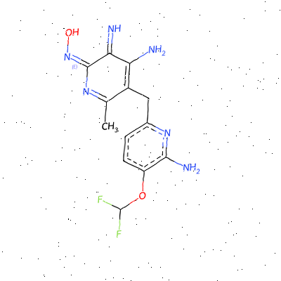 CC1=N/C(=N/O)C(=N)C(N)=C1Cc1ccc(OC(F)F)c(N)n1